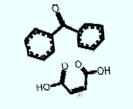 O=C(O)/C=C\C(=O)O.O=C(c1ccccc1)c1ccccc1